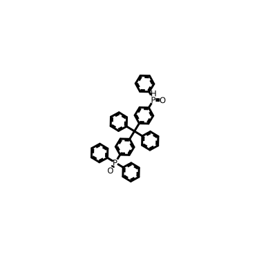 O=[PH](c1ccccc1)c1ccc(C(c2ccccc2)(c2ccccc2)c2ccc(P(=O)(c3ccccc3)c3ccccc3)cc2)cc1